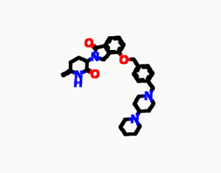 C=C1CCC(N2Cc3c(OCc4ccc(CN5CCC(N6CCCCC6)CC5)cc4)cccc3C2=O)C(=O)N1